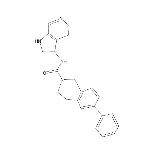 O=C(Nc1c[nH]c2cnccc12)N1CCc2cc(-c3ccccc3)ccc2C1